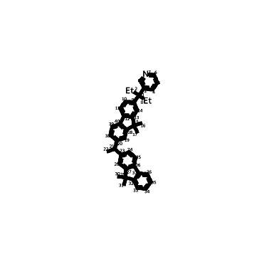 CCC(CC)(c1cccnc1)c1ccc2c(c1)C(C)(C)c1cc(C(C)c3ccc4c(c3)C(C)(C)c3ccccc3-4)ccc1-2